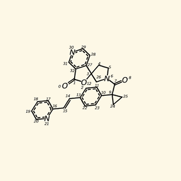 O=C1OC2(CCN(C(=O)C3(c4ccc(/C=C/c5ccccn5)cc4)CC3)C2)c2ccncc21